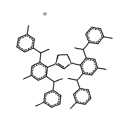 Cc1cccc(C(C)c2cc(C)cc(C(C)c3cccc(C)c3)c2N2C=[N+](c3c(C(C)c4cccc(C)c4)cc(C)cc3C(C)c3cccc(C)c3)CC2)c1.[Cl-]